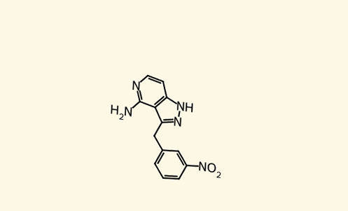 Nc1nccc2[nH]nc(Cc3cccc([N+](=O)[O-])c3)c12